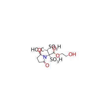 O=C(O)C(C(C(=O)OCCO)(N1C(=O)CCC1=O)S(=O)(=O)O)S(=O)(=O)O